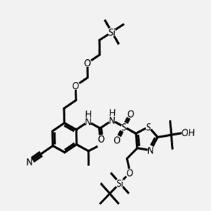 CC(C)c1cc(C#N)cc(CCOCOCC[Si](C)(C)C)c1NC(=O)NS(=O)(=O)c1sc(C(C)(C)O)nc1CO[Si](C)(C)C(C)(C)C